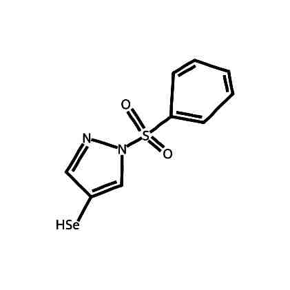 O=S(=O)(c1ccccc1)n1cc([SeH])cn1